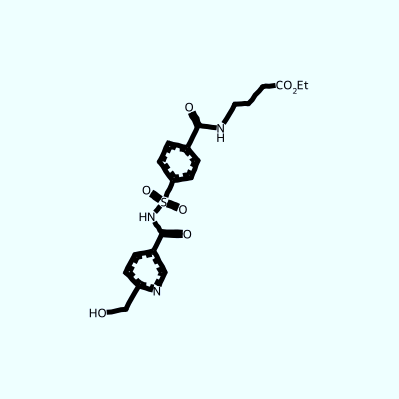 CCOC(=O)CCCNC(=O)c1ccc(S(=O)(=O)NC(=O)c2ccc(CO)nc2)cc1